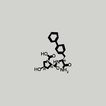 NC(=O)[C@@H](Cc1ccc(-c2ccccc2)cc1)NC(=O)[C@@H]1C[C@@H](O)CN1C(=O)O